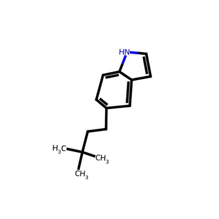 CC(C)(C)CCc1ccc2[nH]ccc2c1